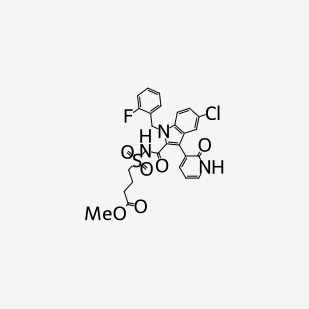 COC(=O)CCCS(=O)(=O)NC(=O)c1c(-c2ccc[nH]c2=O)c2cc(Cl)ccc2n1Cc1ccccc1F